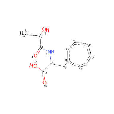 CC(O)C(=O)NC(Cc1ccccc1)C(=O)O